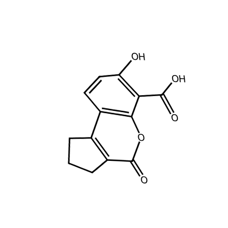 O=C(O)c1c(O)ccc2c3c(c(=O)oc12)CCC3